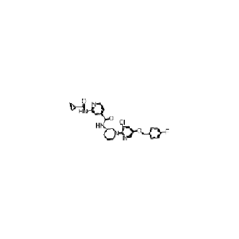 O=C(N[C@@H]1CCCN(c2ncc(OCc3ccc(F)cc3)cc2Cl)C1)c1ccnc(NC(=O)C2CC2)c1